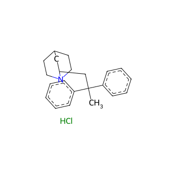 CC(CC1CC2CCN1CC2)(c1ccccc1)c1ccccc1.Cl